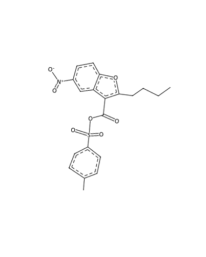 CCCCc1oc2ccc([N+](=O)[O-])cc2c1C(=O)OS(=O)(=O)c1ccc(C)cc1